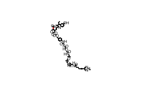 CCc1c2c(nc3ccc(O)cc13)/C(=C/C1=C(C)COC(=O)C1OC(=O)OCc1ccc(NC(=O)CNC(=O)COCC(=O)NCC(C)(C)OCC(C)(C)Cn3cc(CNC(=O)CCCC#Cc4cnc(SC)nc4)nn3)cc1)N(C=O)C2